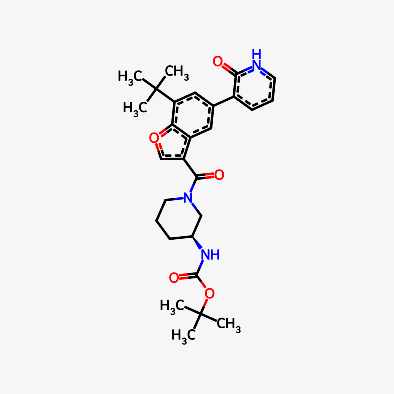 CC(C)(C)OC(=O)N[C@H]1CCCN(C(=O)c2coc3c(C(C)(C)C)cc(-c4ccc[nH]c4=O)cc23)C1